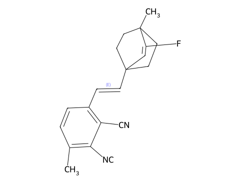 [C-]#[N+]c1c(C)ccc(/C=C/C23C=C(F)C(C)(CC2)CC3)c1C#N